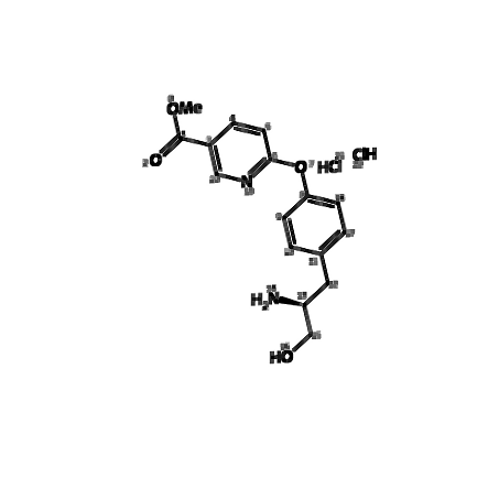 COC(=O)c1ccc(Oc2ccc(C[C@H](N)CO)cc2)nc1.Cl.Cl